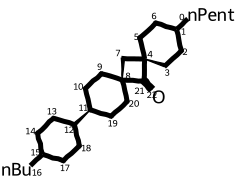 CCCCCC1CC[C@]2(CC1)C[C@@]1(CC[C@H](C3CCC(CCCC)CC3)CC1)C2=O